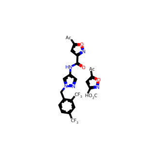 CC(=O)c1cc(C(=O)Nc2cnn(Cc3ccc(C(F)(F)F)cc3C(F)(F)F)c2)no1.CC(=O)c1cc(C(=O)O)no1